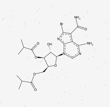 CC(C)C(=O)OC[C@@H]1O[C@H](n2cnc(N)c3c(C(N)=O)c(Br)nc2-3)[C@@H](O)[C@@H]1OC(=O)C(C)C